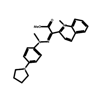 COC(=O)/C(=N\N(C)c1ccc(N2CCCC2)cc1)c1ccc2ccccc2[n+]1C